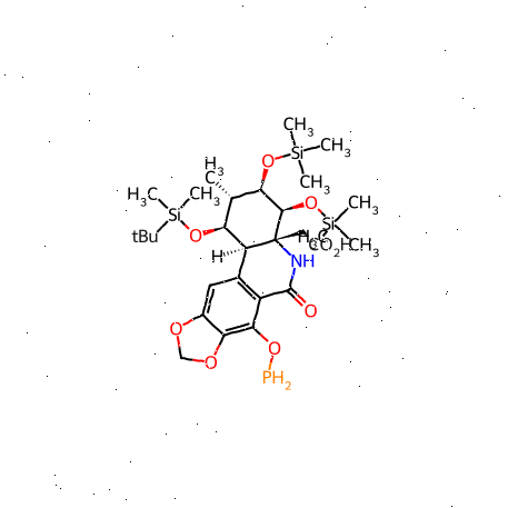 C[C@@H]1[C@@H](O[Si](C)(C)C)[C@@H](O[Si](C)(C)C)[C@]2(CC(=O)O)NC(=O)c3c(cc4c(c3OP)OCO4)[C@H]2[C@H]1O[Si](C)(C)C(C)(C)C